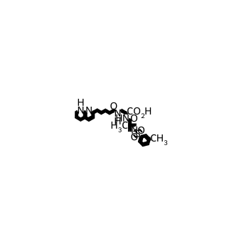 Cc1cccc(S(=O)(=O)N2CC(C)(C(=O)NC(CNC(=O)CCCCc3ccc4c(n3)NCCC4)C(=O)O)C2)c1